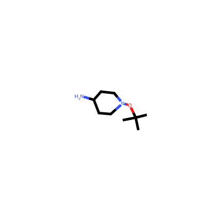 CC(C)(C)ON1CCC(N)CC1